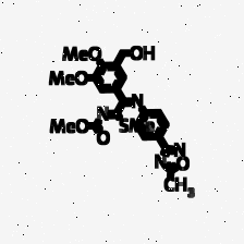 COC(=O)/N=C(SC)/C(=N\c1ccc(-c2noc(C)n2)cc1)c1cc(CO)c(OC)c(OC)c1